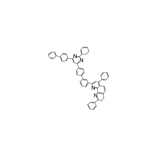 C1=CCCC(c2nc(-c3ccc(-c4ccccc4)cc3)cc(-c3ccc(-c4cccc(-c5cc(-c6ccccc6)c6ccc7c(c6n5)N=C(c5ccccc5)CC7)c4)cc3)n2)=C1